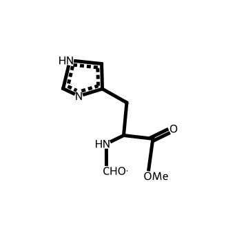 COC(=O)C(Cc1c[nH]cn1)N[C]=O